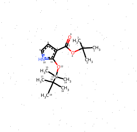 CC(C)(C)OC(=O)c1cc[nH]c1O[Si](C)(C)C(C)(C)C